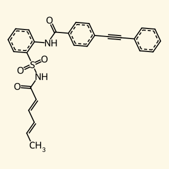 CC=CC=CC(=O)NS(=O)(=O)c1ccccc1NC(=O)c1ccc(C#Cc2ccccc2)cc1